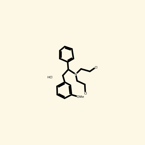 COc1cccc(CC(c2ccccc2)N(CCCl)CCCl)c1.Cl